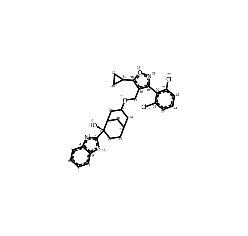 O[C@]1(c2nc3ccccc3s2)CCC2CC(OCc3c(-c4c(Cl)cccc4Cl)noc3C3CC3)CC1C2